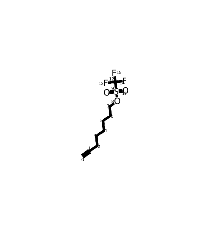 C#CCCCCCCOS(=O)(=O)C(F)(F)F